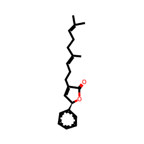 CC(C)=CCC/C(C)=C/CCC1=C[C@H](c2ccccc2)OC1=O